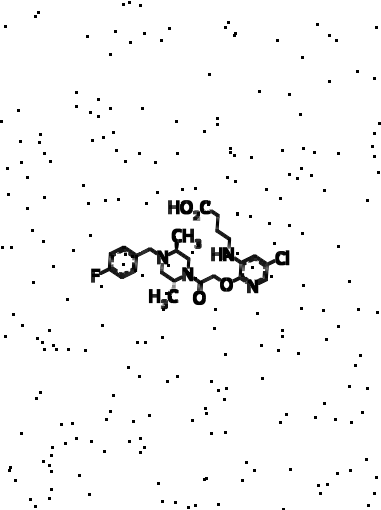 C[C@@H]1CN(Cc2ccc(F)cc2)[C@@H](C)CN1C(=O)COc1ncc(Cl)cc1NCCCC(=O)O